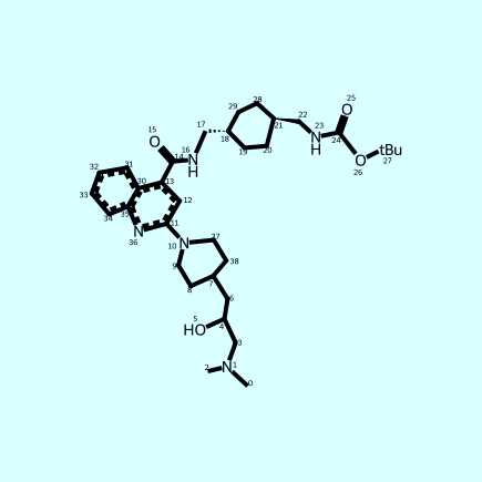 CN(C)CC(O)CC1CCN(c2cc(C(=O)NC[C@H]3CC[C@H](CNC(=O)OC(C)(C)C)CC3)c3ccccc3n2)CC1